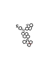 CC1(C)c2cccc3ccc4cc(N(c5ccc([Si](C)(C)C)cc5)c5ccc6ccc7c(N(c8ccccc8)c8ccccc8-c8ccccc8)ccc8ccc5c6c87)cc1c4c23